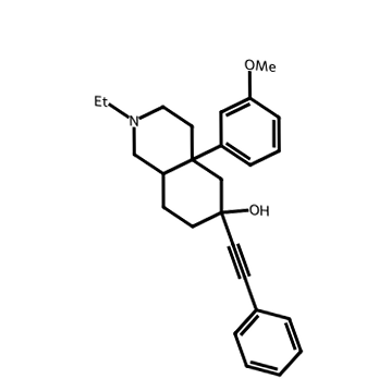 CCN1CCC2(c3cccc(OC)c3)CC(O)(C#Cc3ccccc3)CCC2C1